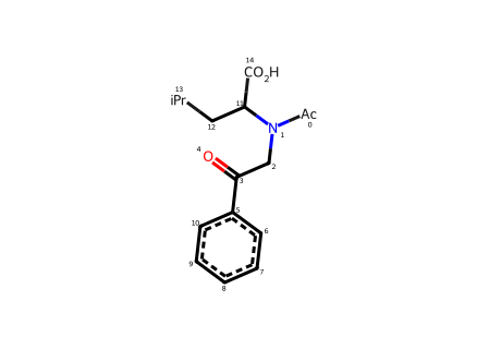 CC(=O)N(CC(=O)c1ccccc1)C(CC(C)C)C(=O)O